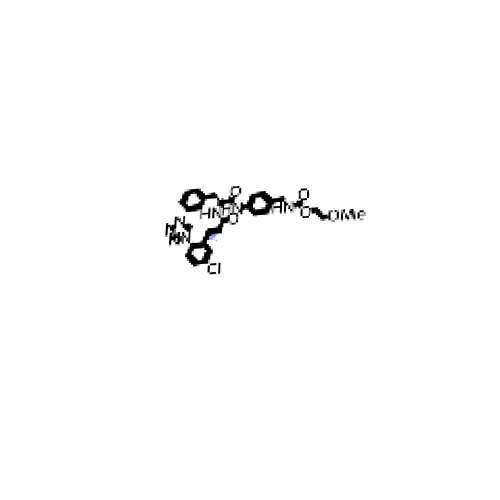 COCCOC(=O)NCc1ccc(NC(=O)[C@H](Cc2ccccc2)NC(=O)/C=C/c2cc(Cl)ccc2-n2cnnn2)cc1